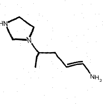 CC(C/C=C/N)N1CCNC1